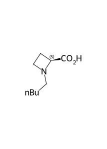 CCCCCN1CC[C@H]1C(=O)O